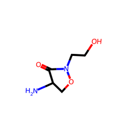 NC1CON(CCO)C1=O